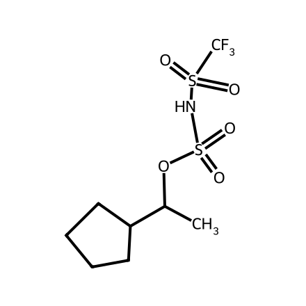 CC(OS(=O)(=O)NS(=O)(=O)C(F)(F)F)C1CCCC1